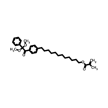 C=C(C)C(=O)OCCCCCCCCCCCCc1ccc(C(=O)C(OC)(OC)c2ccccc2)cc1